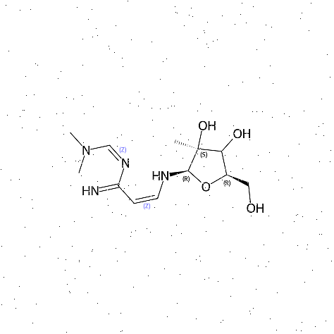 CN(C)/C=N\C(=N)/C=C\N[C@@H]1O[C@H](CO)C(O)[C@]1(C)O